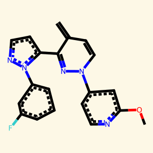 C=C1C=CN(c2ccnc(OC)c2)N=C1c1ccnn1-c1cccc(F)c1